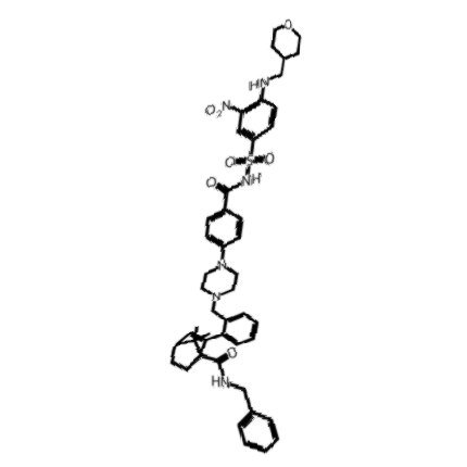 CC1(C)C2C=C(c3ccccc3CN3CCN(c4ccc(C(=O)NS(=O)(=O)c5ccc(NCC6CCOCC6)c([N+](=O)[O-])c5)cc4)CC3)C1(C(=O)NCc1ccccc1)CC2